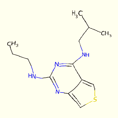 CCCNc1nc(NCC(C)C)c2cscc2n1